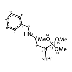 CCCN(CCNCc1ccccc1)[Si](OC)(OC)OC